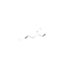 C=CCN(O)C=O